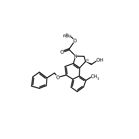 CCCCOC(=O)N1C[C@@H](CO)c2c1cc(OCc1ccccc1)c1cccc(C)c21